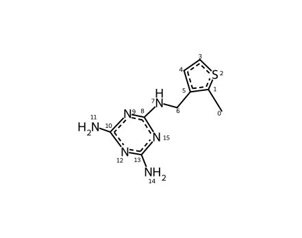 Cc1sccc1CNc1nc(N)nc(N)n1